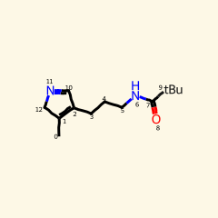 CC1=C(CCCNC(=O)C(C)(C)C)C=NC1